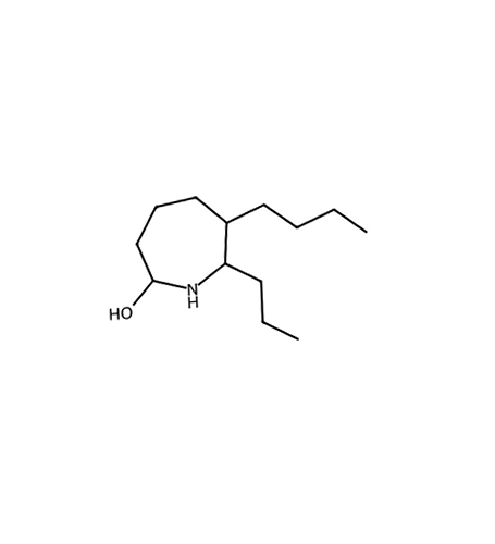 CCCCC1CCCC(O)NC1CCC